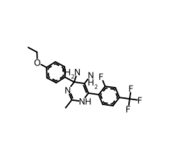 CCOc1ccc(C2(N)N=C(C)NC(c3ccc(C(F)(F)F)cc3F)=C2N)cc1